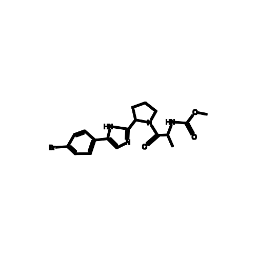 COC(=O)NC(C)C(=O)N1CCCC1c1ncc(-c2ccc(Br)cc2)[nH]1